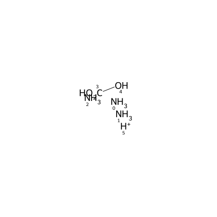 N.N.N.O=C(O)O.[H+]